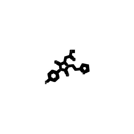 O=C(O)CC1C(=O)N(c2ccc(F)cc2)C(=O)N1CCc1cccs1